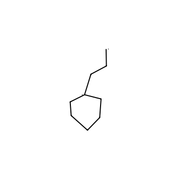 [CH2]CC[C]1CCCCC1